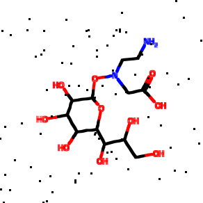 NCCN(CC(=O)O)OC1OC(C(O)C(O)CO)C(O)C(O)C1O